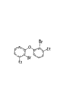 CCc1cccc(Oc2cccc(CC)c2Br)c1Br